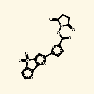 O=C(ON1C(=O)CCC1=O)c1ccc(-c2cc3c(s2)-c2sccc2S3(=O)=O)s1